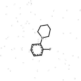 Fc1cc[c]cc1N1CCCCC1